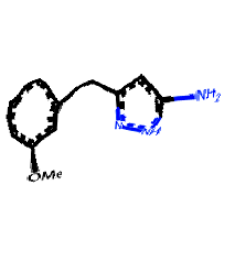 COc1cccc(Cc2cc(N)[nH]n2)c1